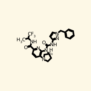 CC(NC(=O)c1ccc2c(n1)N(C(=O)Nc1ccn(Cc3ccccc3)n1)[C@H]1CCN2C1)C(F)(F)F